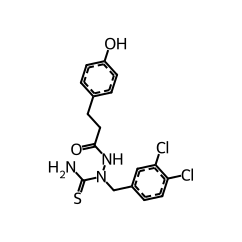 NC(=S)N(Cc1ccc(Cl)c(Cl)c1)NC(=O)CCc1ccc(O)cc1